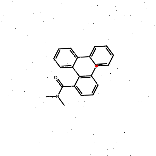 COc1cccc(C(=O)N(C)C)c1-c1ccccc1-c1ccccc1